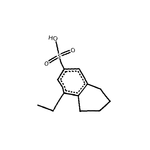 CCc1cc(S(=O)(=O)O)cc2c1CCCC2